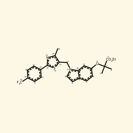 CCOC(=O)C(C)(C)Oc1ccc2ccn(Cc3sc(-c4ccc(C(F)(F)F)cc4)nc3C)c2c1